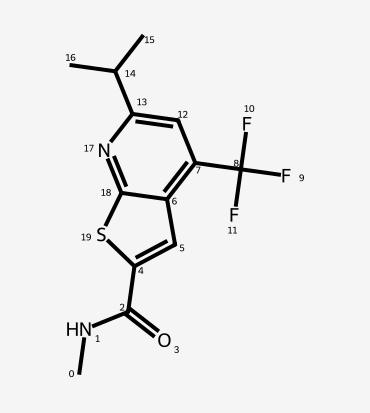 CNC(=O)c1cc2c(C(F)(F)F)cc(C(C)C)nc2s1